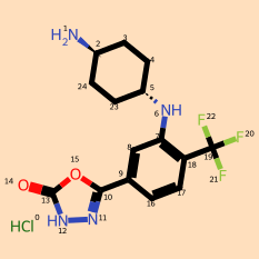 Cl.N[C@H]1CC[C@H](Nc2cc(-c3n[nH]c(=O)o3)ccc2C(F)(F)F)CC1